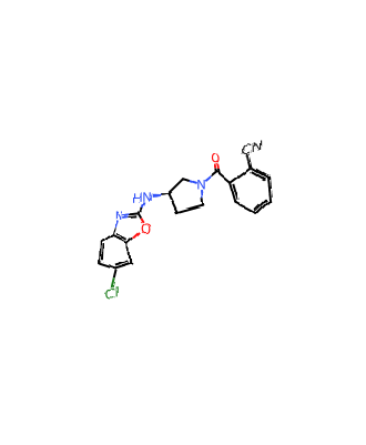 N#Cc1ccccc1C(=O)N1CC[C@@H](Nc2nc3ccc(Cl)cc3o2)C1